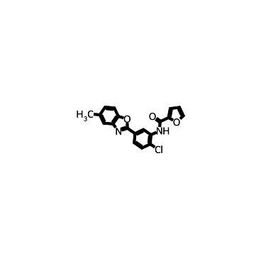 Cc1ccc2oc(-c3ccc(Cl)c(NC(=O)c4ccco4)c3)nc2c1